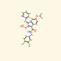 CC(C)Oc1ccc2c(C(=O)NCc3ccc(F)c(F)c3)c(CO)n(Cc3ccccn3)c2c1